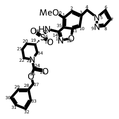 COc1cc(Cn2cccn2)cc2onc(NS(=O)(=O)[C@H]3CCCN(C(=O)OCc4ccccc4)C3)c12